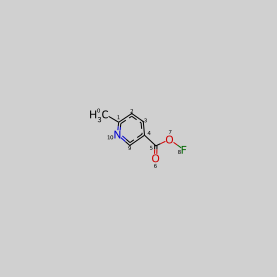 Cc1ccc(C(=O)OF)cn1